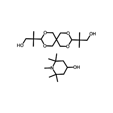 CC(C)(CO)C1OCC2(CO1)COC(C(C)(C)CO)OC2.CN1C(C)(C)CC(O)CC1(C)C